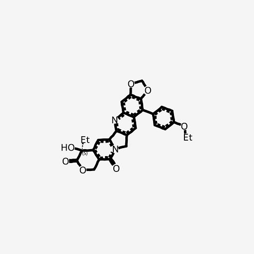 CCOc1ccc(-c2c3c(cc4nc5c(cc24)Cn2c-5cc4c(c2=O)COC(=O)[C@]4(O)CC)OCO3)cc1